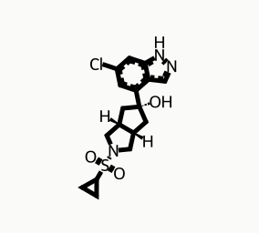 O=S(=O)(C1CC1)N1C[C@@H]2C[C@@](O)(c3cc(Cl)cc4[nH]ncc34)C[C@@H]2C1